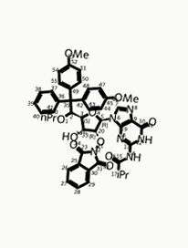 CCCOC([C@H]1O[C@@H](n2cnc3c(=O)[nH]c(NC(=O)C(C)C)nc32)[C@H](ON2C(=O)c3ccccc3C2=O)[C@@H]1O)C(c1ccccc1)(c1ccc(OC)cc1)c1ccc(OC)cc1